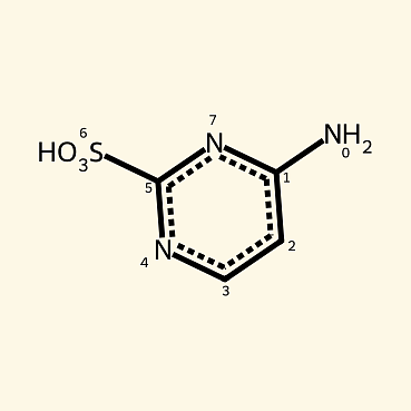 Nc1ccnc(S(=O)(=O)O)n1